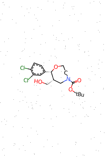 CC(C)(C)OC(=O)N1CCO[C@@H](c2ccc(Cl)c(Cl)c2)[C@@H](CO)C1